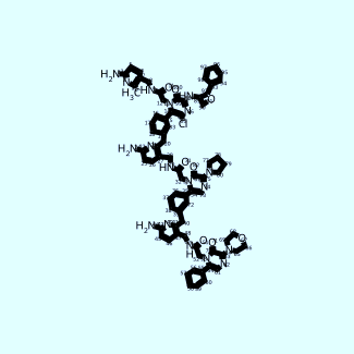 Cc1nc(N)ccc1CNC(=O)Cn1c(-c2cccc(Cc3nc(N)ccc3CNC(=O)Cn3c(-c4cccc(Cc5nc(N)ccc5CNC(=O)Cn5c(-c6ccccc6)cnc(N6CCOCC6)c5=O)c4)cnc(N4CCCC4)c3=O)c2)c(Cl)nc(NC2COC2c2ccccc2)c1=O